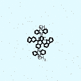 C=C1c2ccccc2-c2cccc(-c3c4ccc(N5c6ccccc6N(C)c6ccccc65)cc4c(-c4ccc5ccccc5c4)c4ccc(N5c6ccccc6N(C)c6ccccc65)cc34)c21